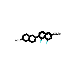 CCCCC1CCC2CC(c3ccc4cc(OC)cc(F)c4c3F)CCC2C1